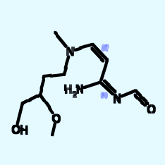 COC(CO)CCN(C)/C=C\C(N)=N/C=O